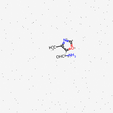 Cc1cocn1.NC=O